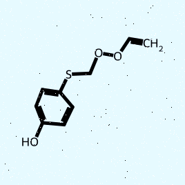 C=COOCSc1ccc(O)cc1